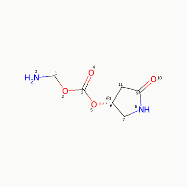 NCOC(=O)O[C@H]1CNC(=O)C1